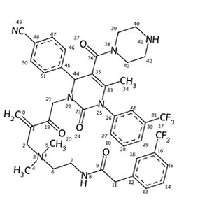 C=C(C[N+](C)(C)CCNC(=O)Cc1cccc(C(F)(F)F)c1)C(=O)CN1C(=O)N(c2cccc(C(F)(F)F)c2)C(C)=C(C(=O)N2CCNCC2)C1c1ccc(C#N)cc1